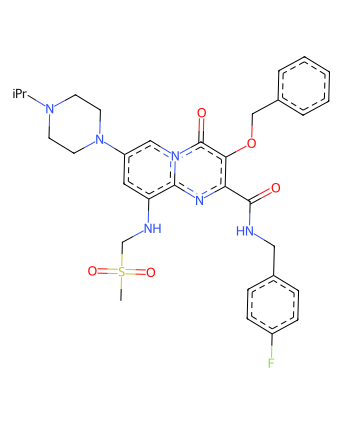 CC(C)N1CCN(c2cc(NCS(C)(=O)=O)c3nc(C(=O)NCc4ccc(F)cc4)c(OCc4ccccc4)c(=O)n3c2)CC1